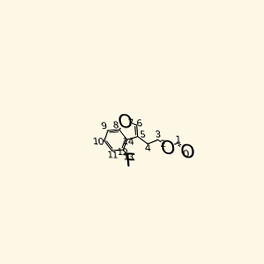 O=COCCc1coc2cccc(F)c12